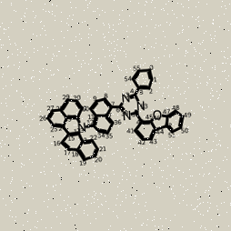 c1ccc(-c2nc(-c3cccc4c(N5c6c(ccc7ccccc67)-c6cccc7cccc5c67)cccc34)nc(-c3cccc4c3oc3ccccc34)n2)cc1